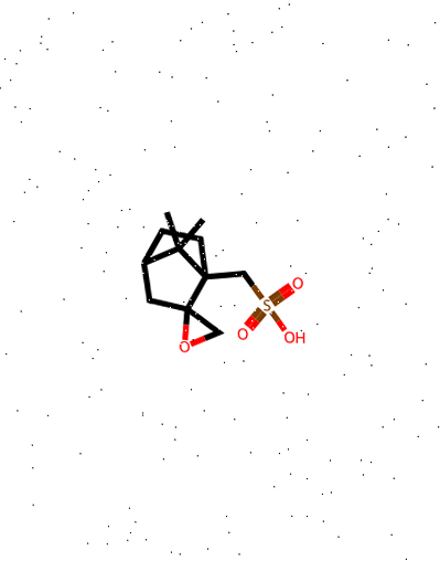 CC1(C)C2CCC1(CS(=O)(=O)O)C1(CO1)C2